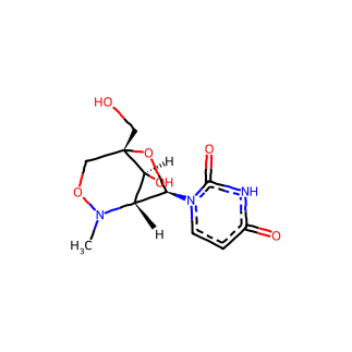 CN1OC[C@]2(CO)O[C@@H](n3ccc(=O)[nH]c3=O)[C@H]1[C@@H]2O